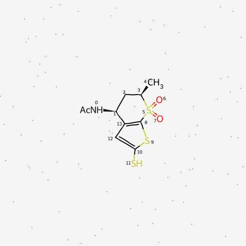 CC(=O)N[C@H]1C[C@@H](C)S(=O)(=O)c2sc(S)cc21